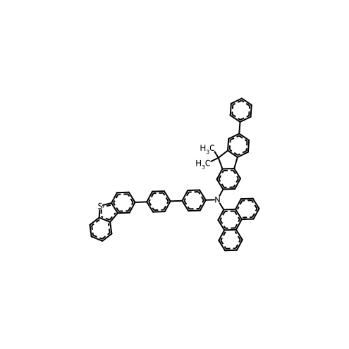 CC1(C)c2cc(-c3ccccc3)ccc2-c2ccc(N(c3ccc(-c4ccc(-c5ccc6sc7ccccc7c6c5)cc4)cc3)c3cc4ccccc4c4ccccc34)cc21